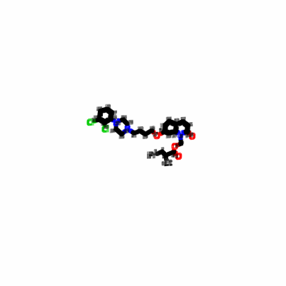 CCC(CC(C)C)C(=O)OCn1c(=O)ccc2ccc(OCCCCN3CCN(c4cccc(Cl)c4Cl)CC3)cc21